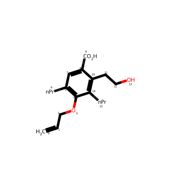 C=CCOc1c(CCC)cc(C(=O)O)c(CCO)c1CCC